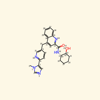 Cn1cncc1-c1ccc(Cc2cc(C(=O)N[C@H]3CCCC[C@@H]3O)nc3ccccc23)cn1